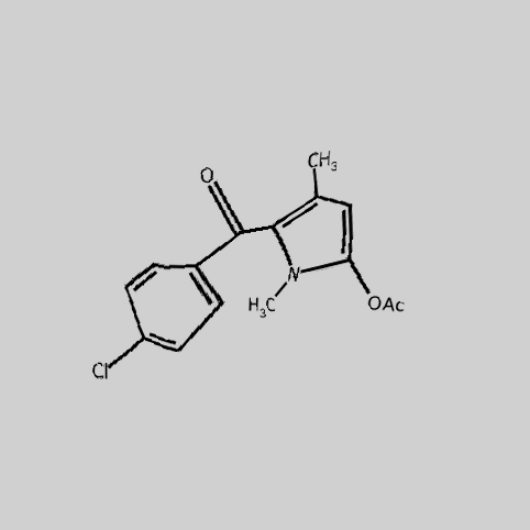 CC(=O)Oc1cc(C)c(C(=O)c2ccc(Cl)cc2)n1C